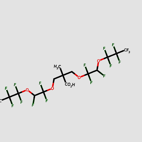 CC(COC(F)(F)C(F)OC(F)(F)C(F)(F)C(F)(F)F)(COC(F)(F)C(F)OC(F)(F)C(F)(F)C(F)(F)F)C(=O)O